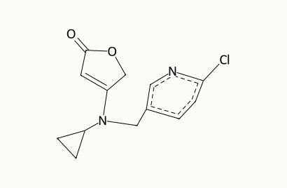 O=C1C=C(N(Cc2ccc(Cl)nc2)C2CC2)CO1